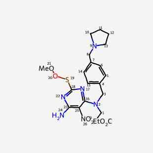 CCOC(=O)CN(Cc1ccc(CN2CCCC2)cc1)c1nc(SOOC)nc(N)c1[N+](=O)[O-]